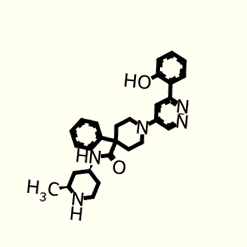 C[C@H]1C[C@H](NC(=O)C2(c3ccccc3)CCN(c3cnnc(-c4ccccc4O)c3)CC2)CCN1